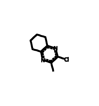 Cc1nc2c(nc1Cl)CCCC2